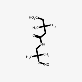 CC(C)(CC(=O)O)CC(=O)NCC(C)(C)SN=O